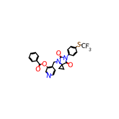 O=C(Oc1cnccc1CN1C(=O)N(c2ccc(SC(F)(F)F)cc2)C(=O)C12CC2)c1ccccc1